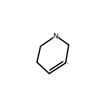 [C]1=CCC[N]C1